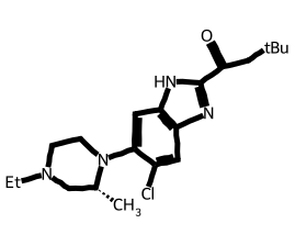 CCN1CCN(c2cc3[nH]c(C(=O)CC(C)(C)C)nc3cc2Cl)[C@H](C)C1